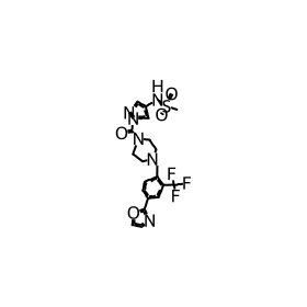 CS(=O)(=O)Nc1cnn(C(=O)N2CCN(Cc3ccc(-c4ncco4)cc3C(F)(F)F)CC2)c1